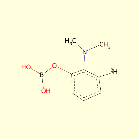 [2H]c1cccc(OB(O)O)c1N(C)C